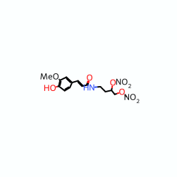 COc1cc(/C=C/C(=O)NCCC(CO[N+](=O)[O-])O[N+](=O)[O-])ccc1O